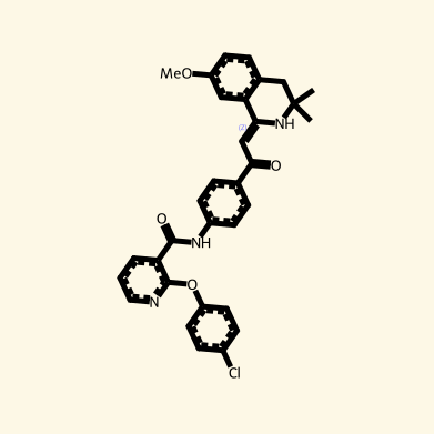 COc1ccc2c(c1)/C(=C/C(=O)c1ccc(NC(=O)c3cccnc3Oc3ccc(Cl)cc3)cc1)NC(C)(C)C2